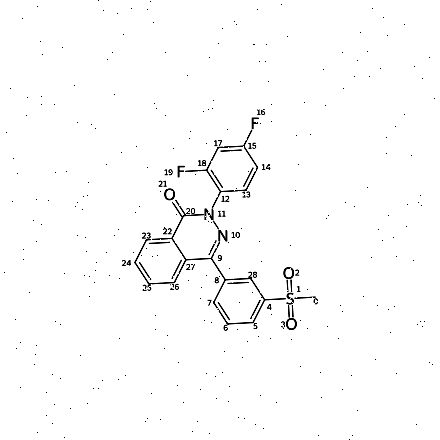 CS(=O)(=O)c1cccc(-c2nn(-c3ccc(F)cc3F)c(=O)c3ccccc23)c1